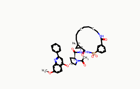 COc1ccc2c(O[C@@H]3C[C@@H](C(=O)N[C@]45C[C@H]4CCCCCCCCNC(=O)c4cccc(c4)S(=O)(=O)NC5=O)N(C(C)=O)C3)cc(-c3ccccc3)nc2c1